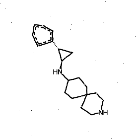 c1ccc([C@@H]2C[C@H]2NC2CCC3(CCNCC3)CC2)cc1